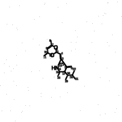 C=C1C2/C(=C/C3OC(C)=CC(C)O3)C2NC(C)C1C(C)C(C)C